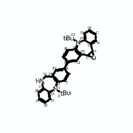 CC(C)(C)N1c2ccc(-c3ccc4c(c3)C3OC3c3ccccc3N4C(C)(C)C)cc2CNc2ccccc21